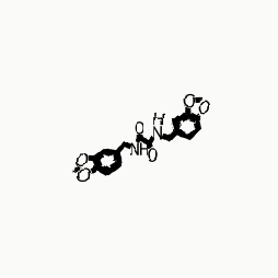 O=C(NCc1ccc2c(c1)OCO2)C(=O)NCc1ccc2c(c1)OCO2